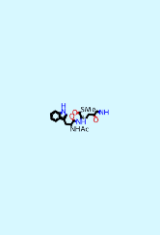 CSC(=O)[C@H](CCC(=O)C=N)NC(=O)C(Cc1c[nH]c2ccccc12)NC(C)=O